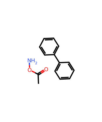 CC(=O)ON.c1ccc(-c2ccccc2)cc1